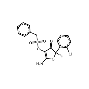 [2H]C1(c2ccccc2Cl)OC(N)=C(OS(=O)(=O)Cc2ccccc2)C1=O